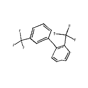 FC(F)(F)c1cccc(-c2ccc[c]c2C(F)(F)F)c1